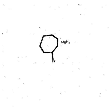 BrC1CCCCCC1.[MgH2]